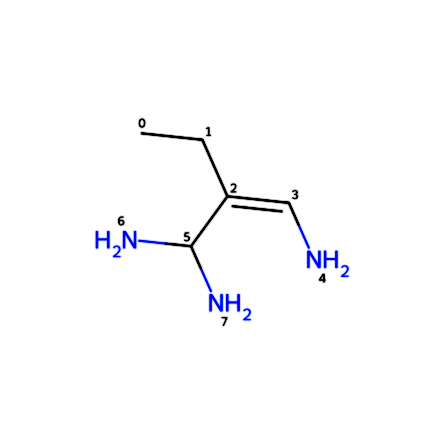 CC/C(=C/N)C(N)N